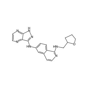 c1cc2cc(Nc3n[nH]c4nccnc34)ccc2c(NCC2CCCO2)n1